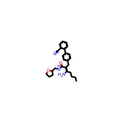 CCCC/C(N)=C(\Cc1ccc(-c2ccccc2C#N)cc1)C(=O)NCC1CCCO1